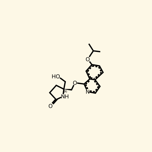 CC(C)Oc1ccc2ccnc(OC[C@]3(CO)CCC(=O)N3)c2c1